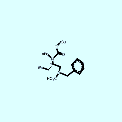 CCCN(C(=O)OC(C)(C)C)[C@@H](CC(C)C)CN(Cc1ccccc1)C(=O)O